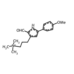 COc1ccc(-c2cc(CCC[N+](C)(C)C)c(C=O)[nH]2)cc1